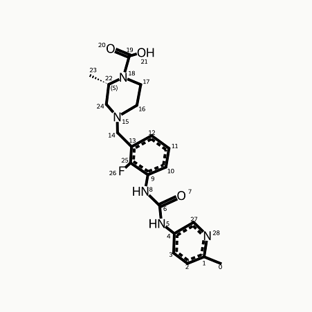 Cc1ccc(NC(=O)Nc2cccc(CN3CCN(C(=O)O)[C@@H](C)C3)c2F)cn1